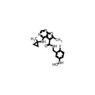 Cc1oc2ncnc(NC3(C)CC3)c2c1C(=O)NCc1cc(NO)ccc1F